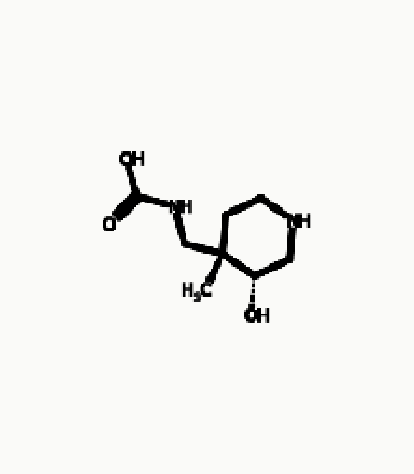 C[C@@]1(CNC(=O)O)CCNC[C@@H]1O